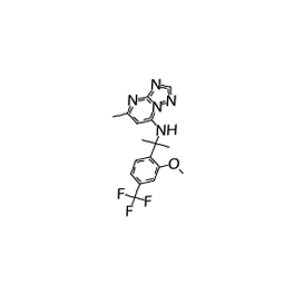 COc1cc(C(F)(F)F)ccc1C(C)(C)Nc1cc(C)nc2ncnn12